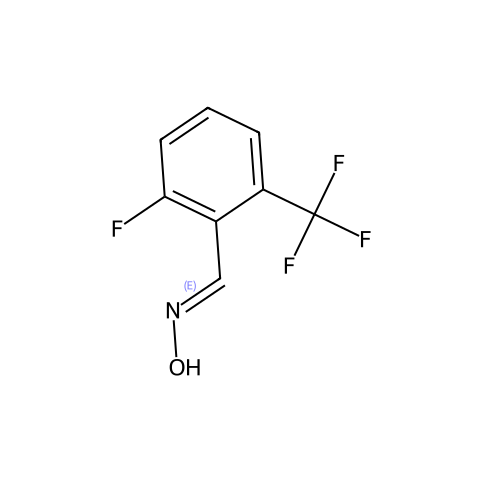 O/N=C/c1c(F)cccc1C(F)(F)F